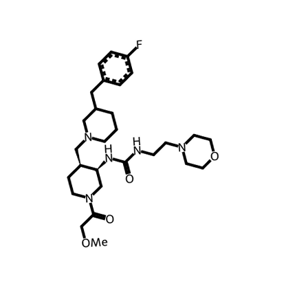 COCC(=O)N1CC[C@@H](CN2CCCC(Cc3ccc(F)cc3)C2)[C@@H](NC(=O)NCCN2CCOCC2)C1